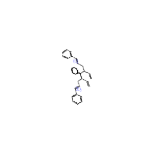 C=CC(C/C=C/c1ccccc1)C(=O)C(C=C)C/C=C/c1ccccc1